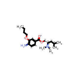 CCCCOc1cc(C(=O)OC[C@H](CC(C)C)N(C)C)ccc1N